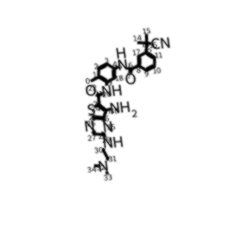 Cc1ccc(NC(=O)c2cccc(C(C)(C)C#N)c2)cc1NC(=O)c1sc2ncc(NCCN(C)C)nc2c1N